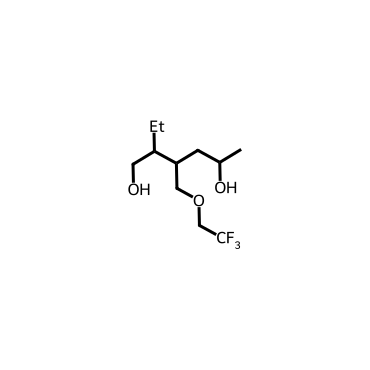 CCC(CO)C(COCC(F)(F)F)CC(C)O